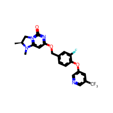 C[C@H]1Cn2c(cc(OCc3ccc(Oc4cncc(C(F)(F)F)c4)c(F)c3)nc2=O)N1C